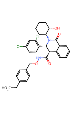 O=C(O)Cc1ccc(CONC(=O)[C@@H]2c3ccccc3C(=O)N([C@H]3CCCC[C@@H]3O)[C@H]2c2ccc(Cl)cc2Cl)cc1